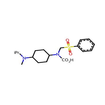 CC(C)N(C)C1CCC(N(CS(=O)(=O)c2ccccc2)C(=O)O)CC1